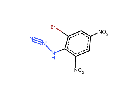 N#[N+]Nc1c(Br)cc([N+](=O)[O-])cc1[N+](=O)[O-]